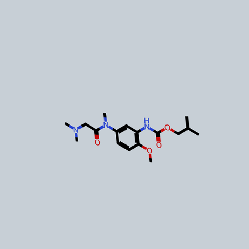 COc1ccc(N(C)C(=O)CN(C)C)cc1NC(=O)OCC(C)C